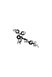 NC(=O)c1ccc(NCC#Cc2cc3c(N(C4CCNCC4)C4CCOCC4)cccc3n2CC(F)(F)F)cn1